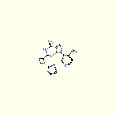 C=C1NC([C@@H]2CC[C@H]2c2ncccn2)=Nc2c1cnn2-c1cnccc1C